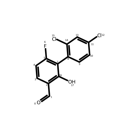 O=Cc1ccc(F)c(-c2ccc(Cl)cc2Cl)c1O